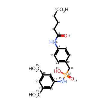 O=C(O)CCCC(=O)Nc1ccc(CP(=O)(O)Nc2cc(C(=O)O)cc(C(=O)O)c2)cc1